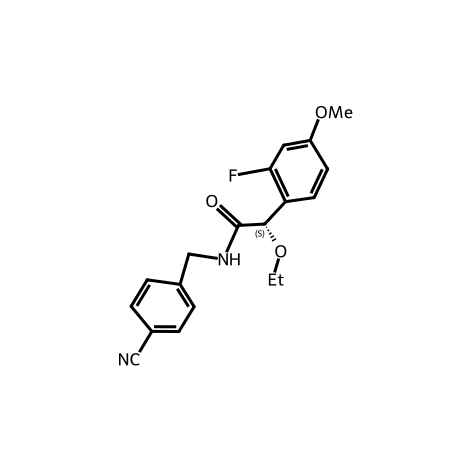 CCO[C@H](C(=O)NCc1ccc(C#N)cc1)c1ccc(OC)cc1F